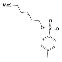 CSCCSCCOS(=O)(=O)c1ccc(C)cc1